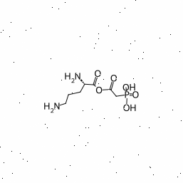 NCCC[C@@H](N)C(=O)OC(=O)CP(=O)(O)O